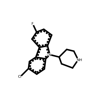 Fc1ccc2c(c1)c1cc(Cl)ccc1n2C1CCNCC1